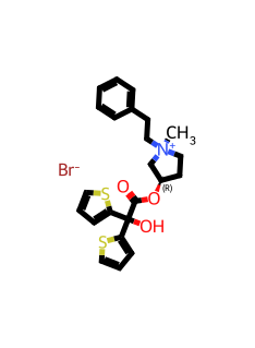 C[N+]1(CCc2ccccc2)CC[C@@H](OC(=O)C(O)(c2cccs2)c2cccs2)C1.[Br-]